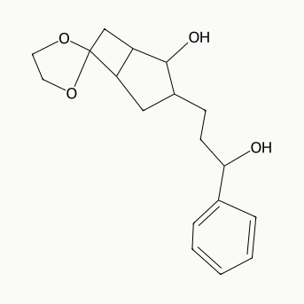 OC(CCC1CC2C(CC23OCCO3)C1O)c1ccccc1